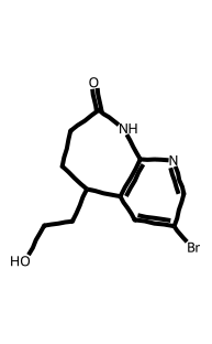 O=C1CCC(CCO)c2cc(Br)cnc2N1